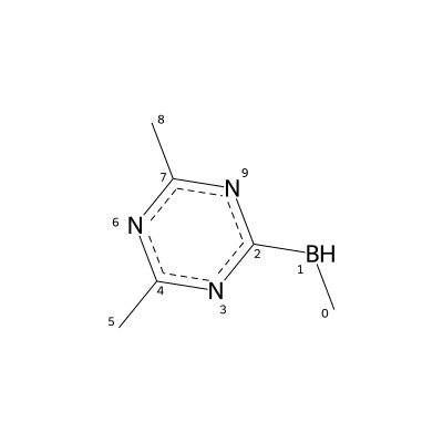 CBc1nc(C)nc(C)n1